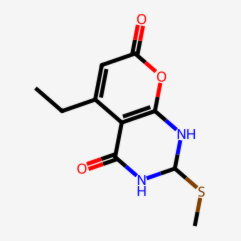 CCc1cc(=O)oc2c1C(=O)NC(SC)N2